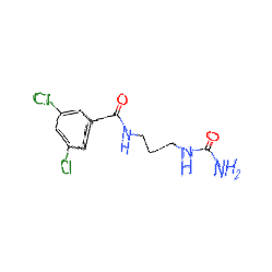 NC(=O)NCCCNC(=O)c1cc(Cl)cc(Cl)c1